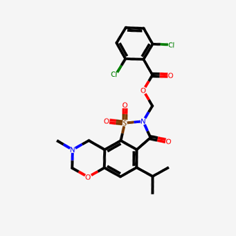 CC(C)c1cc2c(c3c1C(=O)N(COC(=O)c1c(Cl)cccc1Cl)S3(=O)=O)CN(C)CO2